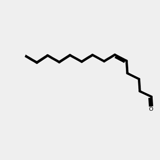 CCCCCCCC/C=C\CCCC=O